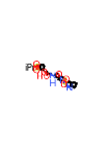 CC(C)S(=O)(=O)c1cccc(OCC(O)CN[C@H]2COC3(CCN(S(=O)(=O)c4cnc5ccccc5c4)CC3)C2)c1